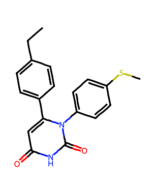 CCc1ccc(-c2cc(=O)[nH]c(=O)n2-c2ccc(SC)cc2)cc1